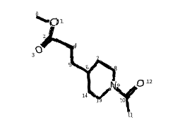 COC(=O)CCC1CCN(C(C)=O)CC1